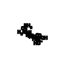 CC(O)C(NC(=O)NCc1nc([C@@H](N)CC(N)=O)no1)C(=O)O